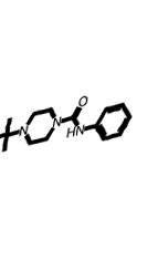 CC(C)(C)N1CCN(C(=O)Nc2ccccc2)CC1